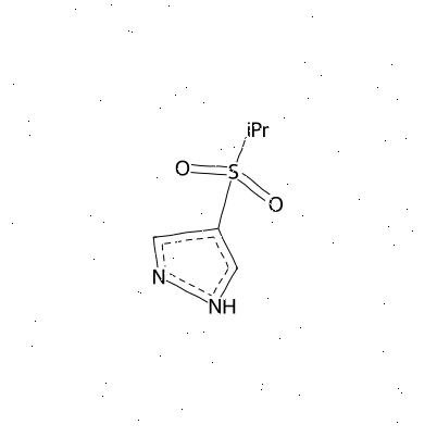 CC(C)S(=O)(=O)c1cn[nH]c1